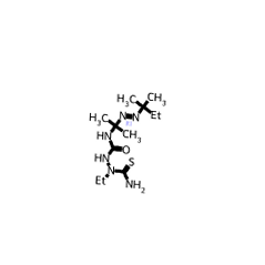 CCN(NC(=O)NC(C)(C)/N=N/C(C)(C)CC)C(N)=S